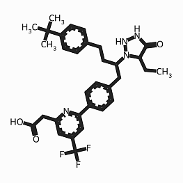 CCC1C(=O)NNN1C(CCc1ccc(C(C)(C)C)cc1)Cc1ccc(-c2cc(C(F)(F)F)cc(CC(=O)O)n2)cc1